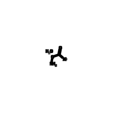 NO[C](=O)[Al].O